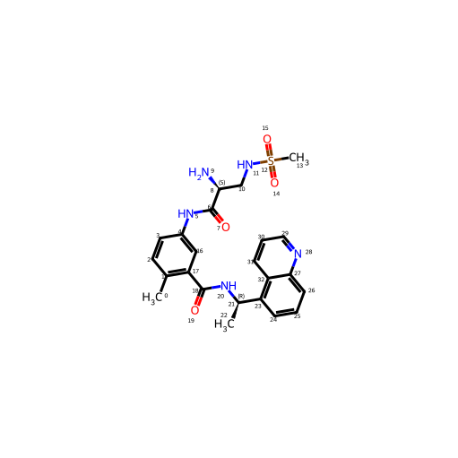 Cc1ccc(NC(=O)[C@@H](N)CNS(C)(=O)=O)cc1C(=O)N[C@H](C)c1cccc2ncccc12